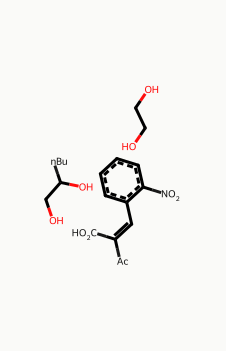 CC(=O)C(=Cc1ccccc1[N+](=O)[O-])C(=O)O.CCCCC(O)CO.OCCO